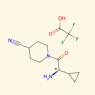 N#CC1CCN(C(=O)[C@H](N)C2CC2)CC1.O=C(O)C(F)(F)F